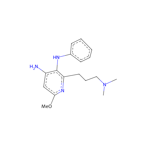 COc1cc(N)c(Nc2ccccc2)c(CCCN(C)C)n1